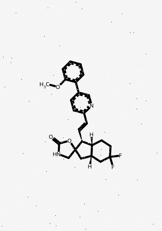 COc1ccccc1-c1ccc(C=C[C@H]2[C@@H]3CCC(F)(F)C[C@@H]3CC23CNC(=O)O3)nc1